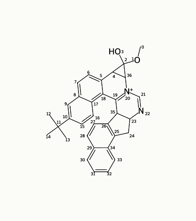 COC1(O)C2c3ccc4cc(C(C)(C)C)ccc4c3C3=[N+](C=NC4Cc5c(ccc6ccccc56)C34)C21